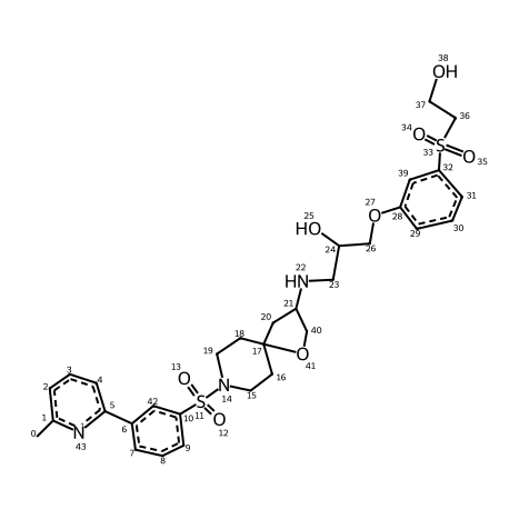 Cc1cccc(-c2cccc(S(=O)(=O)N3CCC4(CC3)CC(NCC(O)COc3cccc(S(=O)(=O)CCO)c3)CO4)c2)n1